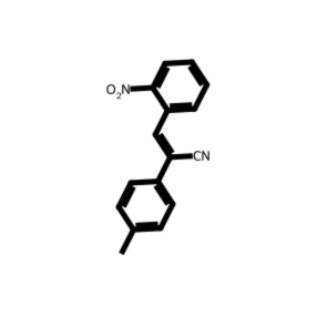 Cc1ccc(C(C#N)=Cc2ccccc2[N+](=O)[O-])cc1